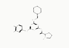 CCN1CCCC1C(=O)Nc1nc(NCC2CCCCC2)nc(Nc2ccc(O)c(F)c2)n1